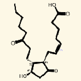 CCCCCC(=O)CC[C@H]1[C@H](O)CC(=O)[C@@H]1C/C=C\CCCC(=O)O